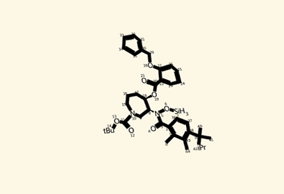 Cc1c(C(=O)N(O[SiH3])[C@@H]2CN(C(=O)OC(C)(C)C)CCC[C@H]2OC(=O)c2ccccc2OCc2ccccc2)ccc(C(C)(C)C(C)C)c1C